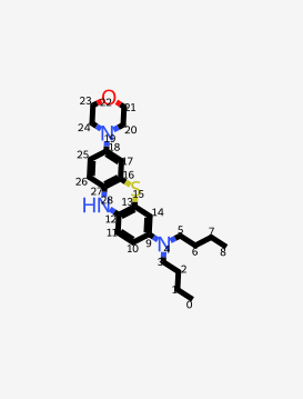 CCCCN(CCCC)c1ccc2c(c1)Sc1cc(N3CCOCC3)ccc1N2